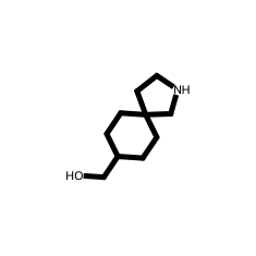 OCC1CCC2(CCNC2)CC1